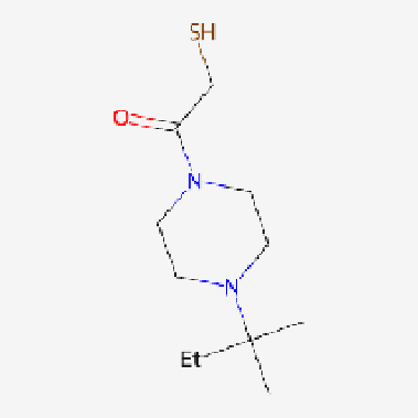 CCC(C)(C)N1CCN(C(=O)CS)CC1